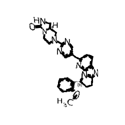 COc1ccccc1[C@H]1CCc2nc3ccc(-c4cnc(N5CCN6C(=O)NC[C@H]6C5)nc4)nc3n21